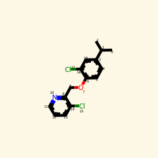 CC(C)c1ccc(OCc2ncccc2Cl)c(Cl)c1